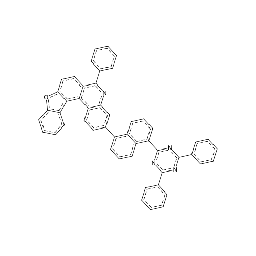 c1ccc(-c2nc(-c3ccccc3)nc(-c3cccc4c(-c5ccc6c(c5)nc(-c5ccccc5)c5ccc7oc8ccccc8c7c56)cccc34)n2)cc1